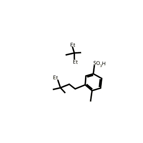 CCC(C)(C)CC.CCC(C)(C)CCc1cc(S(=O)(=O)O)ccc1C